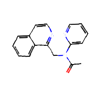 CCC(=O)N(Cc1nccc2ccccc12)c1ccccn1